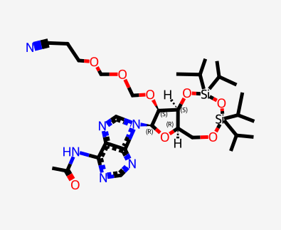 CC(=O)Nc1ncnc2c1ncn2[C@@H]1O[C@@H]2CO[Si](C(C)C)(C(C)C)O[Si](C(C)C)(C(C)C)O[C@@H]2[C@@H]1OCOCOCCC#N